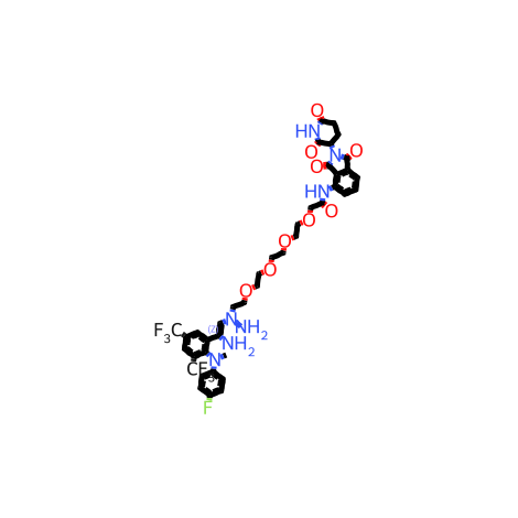 CN(c1ccc(F)cc1)c1c(/C(N)=C/N(N)CCOCCOCCOCCOCC(=O)Nc2cccc3c2C(=O)N(C2CCC(=O)NC2=O)C3=O)cc(C(F)(F)F)cc1C(F)(F)F